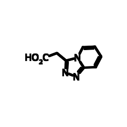 O=C(O)Cc1nnc2ccccn12